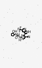 N#Cc1cnc(NCC(=O)NC2CCCC2O)nc1-c1c[nH]c2ncc(C(F)(F)F)cc12